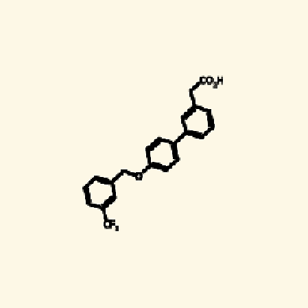 O=C(O)Cc1cccc(-c2ccc(OCc3cccc(C(F)(F)F)c3)cc2)c1